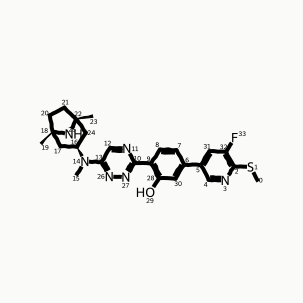 CSc1ncc(-c2ccc(-c3ncc(N(C)[C@H]4C[C@]5(C)CC[C@](C)(C4)N5)nn3)c(O)c2)cc1F